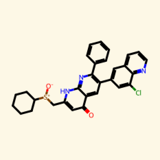 O=c1cc(C[S+]([O-])C2CCCCC2)[nH]c2nc(-c3ccccc3)c(-c3cc(Cl)c4ncccc4c3)cc12